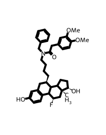 COc1ccc(CC(=O)N(CCCC[C@@H]2Cc3cc(O)ccc3C3C2C2CC[C@H](O)[C@@]2(C)C[C@@H]3F)Cc2ccccc2)cc1OC